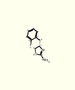 NC1=N[C@@H](Cc2ccccc2F)CO1